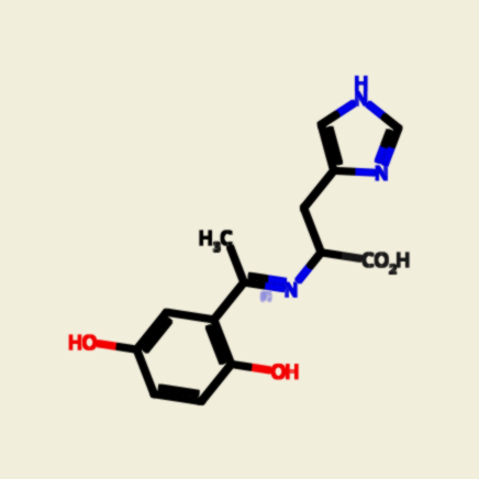 C/C(=N\C(Cc1c[nH]cn1)C(=O)O)c1cc(O)ccc1O